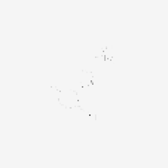 N.O=C1C=CC(=O)C=C1.[O-][Cl+3]([O-])([O-])O.c1ccsc1